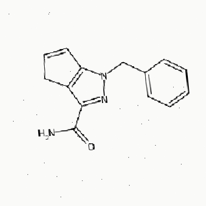 NC(=O)c1nn(Cc2ccccc2)c2c1CC=C2